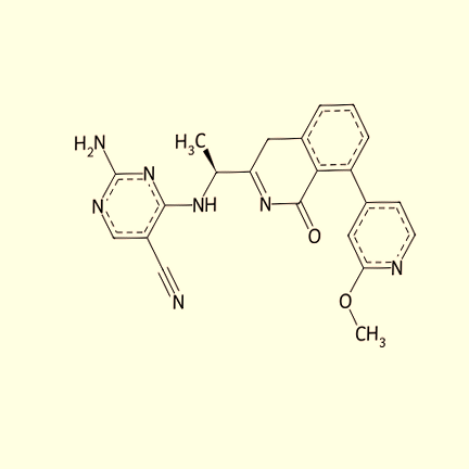 COc1cc(-c2cccc3c2C(=O)N=C([C@H](C)Nc2nc(N)ncc2C#N)C3)ccn1